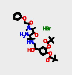 Br.C[C@@H](C(=O)C(N)C(C)(C)NCC(O)c1ccc(OC(=O)C(C)(C)C)c(OC(=O)C(C)(C)C)c1)N(C)C(=O)COc1ccccc1